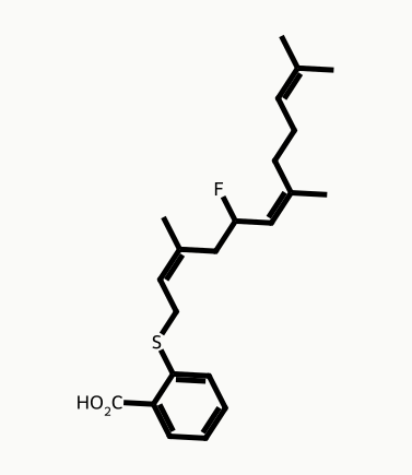 CC(C)=CCCC(C)=CC(F)CC(C)=CCSc1ccccc1C(=O)O